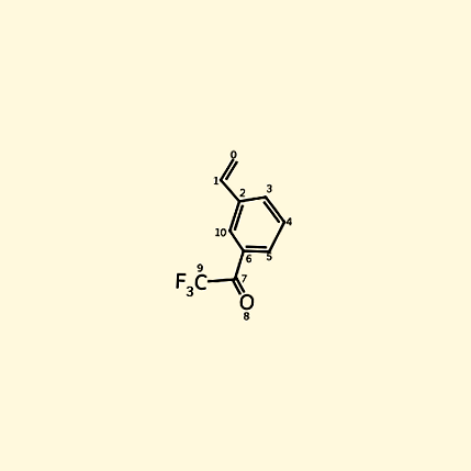 C=Cc1cccc(C(=O)C(F)(F)F)c1